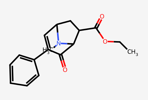 CCOC(=O)C1CC2C=C(c3ccccc3)C(=O)C1N2C